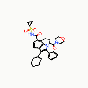 O=C(NS(=O)(=O)C1CC1)c1ccc2c(C3CCCCC3)c(-c3ccccc3)n3c2c1CCC3C(=O)N1CCOCC1